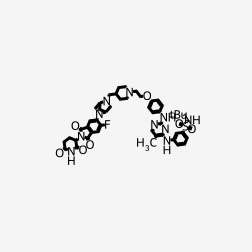 Cc1cnc(Nc2ccc(OCCN3CCC(CN4CC5CC4CN5c4cc5c(cc4F)C(=O)N(C4CCC(=O)NC4=O)C5=O)CC3)cc2)nc1Nc1cccc(S(=O)(=O)NC(C)(C)C)c1